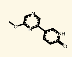 COc1cncc(-c2ccc(=O)[nH]c2)n1